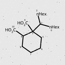 CCCCCCC(CCCCCC)C1(C(=O)O)CCCCC1C(=O)O